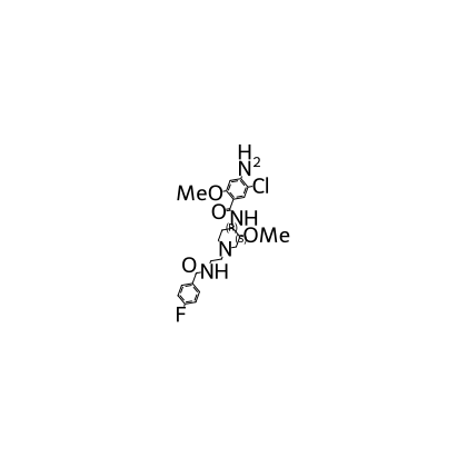 COc1cc(N)c(Cl)cc1C(=O)N[C@@H]1CCN(CCNC(=O)c2ccc(F)cc2)C[C@@H]1OC